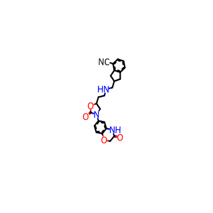 N#Cc1cccc2c1CC(CNCCC1CN(c3ccc4c(c3)NC(=O)CO4)C(=O)O1)C2